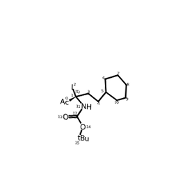 CC(=O)[C@@](I)(CCC1CCCCC1)NC(=O)OC(C)(C)C